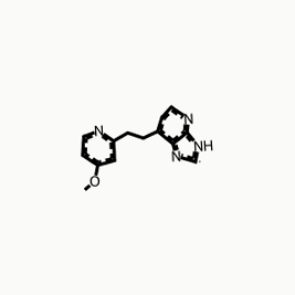 COc1ccnc(CCc2ccnc3[nH][c]nc23)c1